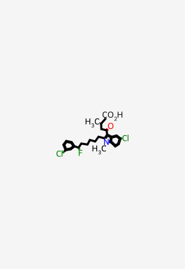 C[C@H](CC(=O)O)CC(=O)c1c(CCCCCC(F)c2cccc(Cl)c2)n(C)c2ccc(Cl)cc12